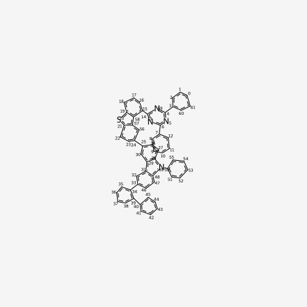 c1ccc(-c2nc(-c3ccccc3)nc(-c3cccc4sc5ccc(-c6ccc7c(c6)c6cc(-c8ccccc8-c8ccccc8)ccc6n7-c6ccccc6)cc5c34)n2)cc1